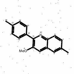 COc1cc2cc(C)ccc2nc1-c1ccc(C)cc1